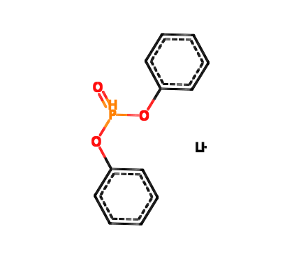 O=[PH](Oc1ccccc1)Oc1ccccc1.[Li]